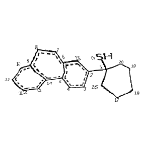 SC1(c2ccc3c(ccc4ccccc43)c2)CCCCC1